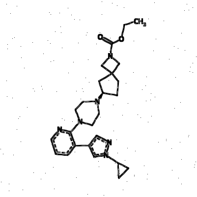 CCOC(=O)N1CC2(CC[C@@H](N3CCN(c4ncccc4-c4cnn(C5CC5)c4)CC3)C2)C1